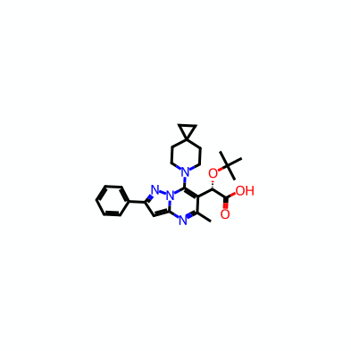 Cc1nc2cc(-c3ccccc3)nn2c(N2CCC3(CC2)CC3)c1[C@H](OC(C)(C)C)C(=O)O